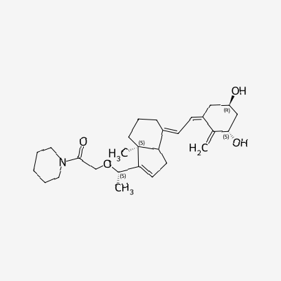 C=C1C(=CC=C2CCC[C@]3(C)C([C@H](C)OCC(=O)N4CCCCC4)=CCC23)C[C@@H](O)C[C@@H]1O